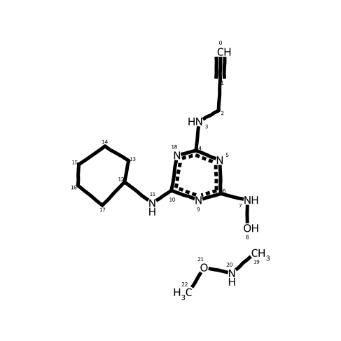 C#CCNc1nc(NO)nc(NC2CCCCC2)n1.CNOC